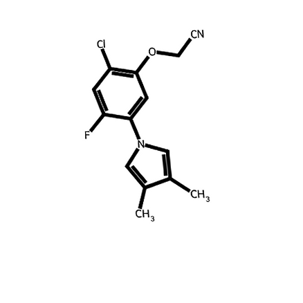 Cc1cn(-c2cc(OCC#N)c(Cl)cc2F)cc1C